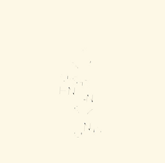 CCCc1ccc(S(=O)(=O)Nc2ncc([N+](=O)[O-])s2)cc1